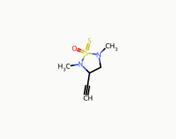 C#CC1CN(C)S(=O)(=S)N1C